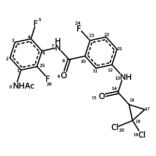 CC(=O)Nc1ccc(F)c(NC(=O)c2cc(NC(=O)C3CC3(Cl)Cl)ccc2F)c1F